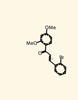 COc1ccc(C(=O)/C=C/c2ccccc2Br)c(OC)c1